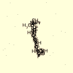 Cc1cc(-c2nc(Nc3ccc(N4CCN(NCc5ccc(-c6[nH]c7cc(F)cc8c7c6CCNC8=O)cc5)CC4)cn3)ncc2F)cc2c1nc(C)n2C(C)C